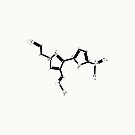 C=CCn1cc(C=NO)c(-c2ccc([N+](=O)[O-])o2)n1